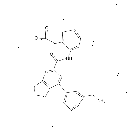 NCc1cccc(-c2cc(C(=O)Nc3ccccc3CC(=O)O)cc3c2CCC3)c1